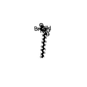 CCCCCCCCCCCCCC(=O)n1nc(Br)c(=O)[nH]c1=O